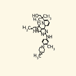 C=CCn1[nH]c2nc(Nc3ccc(N4CCN(C)CC4)c(C)c3)nc(-c3cccc(C(C)(C)CO)n3)c2c1=O